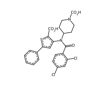 O=C(O)c1sc(-c2ccccc2)cc1N(C(=O)c1ccc(Cl)cc1Cl)C1CCN(C(=O)O)CC1